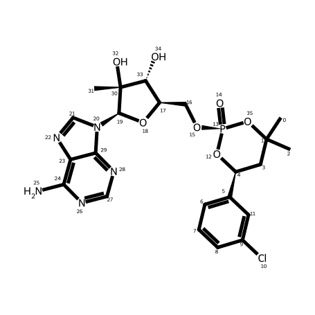 CC1(C)C[C@@H](c2cccc(Cl)c2)O[P@@](=O)(OC[C@H]2O[C@@H](n3cnc4c(N)ncnc43)[C@](C)(O)[C@@H]2O)O1